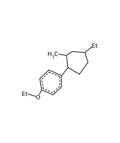 CCOc1ccc(C2CCC(CC)CC2C)cc1